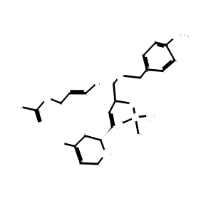 COc1ccc(CO[C@@H](C/C=C/COC(=O)C(C)(C)C)C(/C=C/[C@@H]2CC(C)=CCO2)O[Si](C)(C)C(C)(C)C)cc1